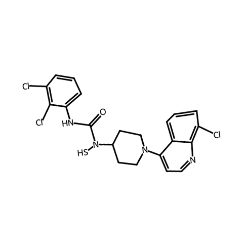 O=C(Nc1cccc(Cl)c1Cl)N(S)C1CCN(c2ccnc3c(Cl)cccc23)CC1